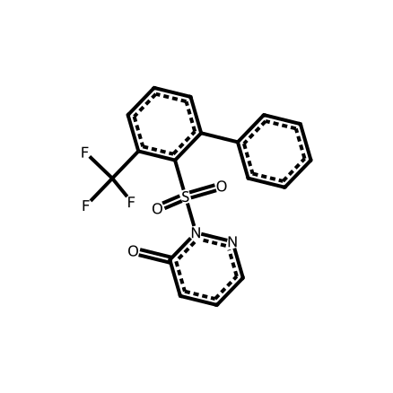 O=c1cccnn1S(=O)(=O)c1c(-c2ccccc2)cccc1C(F)(F)F